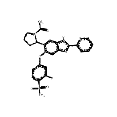 CC(=O)N1CCCC1c1cc2[nH]c(-c3ccccn3)nc2cc1Oc1ccc(S(C)(=O)=O)c(F)c1